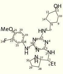 CCC(Nc1nc(NCC2CCC(O)CC2)nc(Nc2ccc(OC)c(F)c2)n1)C1CCCN1